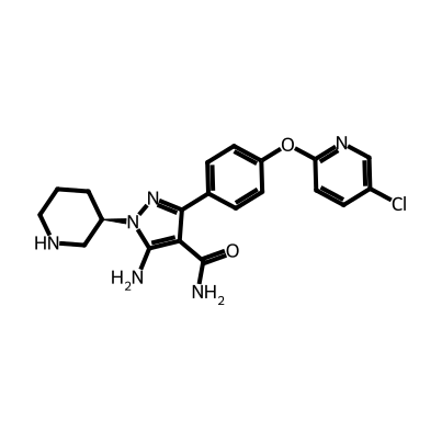 NC(=O)c1c(-c2ccc(Oc3ccc(Cl)cn3)cc2)nn([C@@H]2CCCNC2)c1N